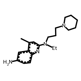 CCN(CCCN1CCCCC1)c1cc(C)c2cc(N)ccc2n1